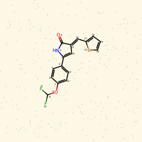 O=C1NC(c2ccc(OC(F)F)cc2)=CC1=Cc1cccs1